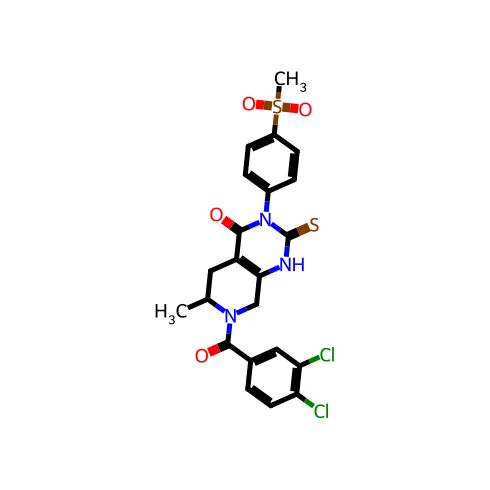 CC1Cc2c([nH]c(=S)n(-c3ccc(S(C)(=O)=O)cc3)c2=O)CN1C(=O)c1ccc(Cl)c(Cl)c1